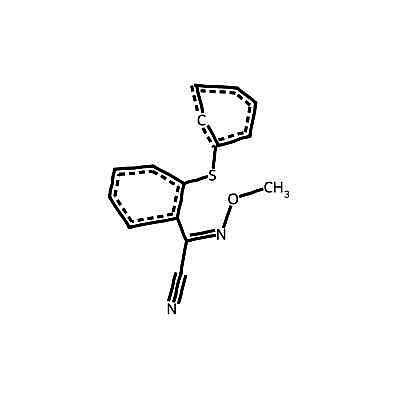 CO/N=C(/C#N)c1ccccc1Sc1ccccc1